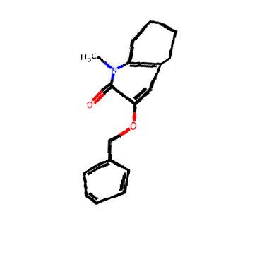 Cn1c2c(cc(OCc3ccccc3)c1=O)CCCC2